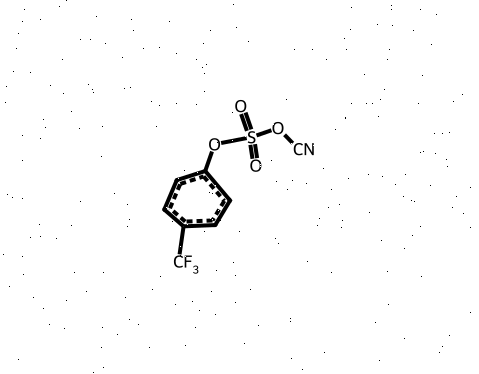 N#COS(=O)(=O)Oc1ccc(C(F)(F)F)cc1